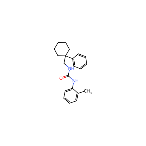 Cc1ccccc1NC(=O)NCC1(c2ccccc2)CCCCC1